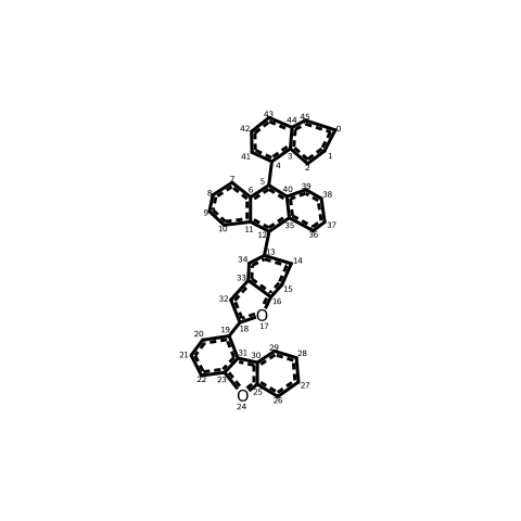 c1ccc2c(-c3c4ccccc4c(-c4ccc5oc(-c6cccc7oc8ccccc8c67)cc5c4)c4ccccc34)cccc2c1